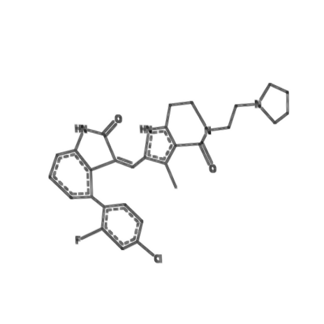 Cc1c(C=C2C(=O)Nc3cccc(-c4ccc(Cl)cc4F)c32)[nH]c2c1C(=O)N(CCN1CCCC1)CC2